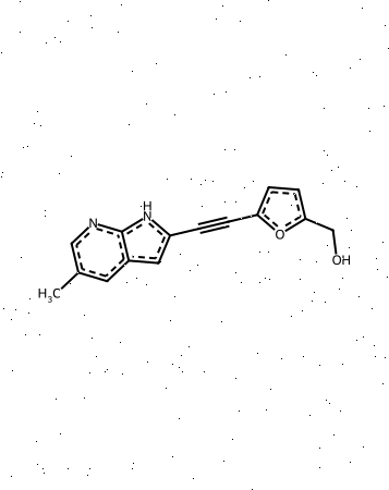 Cc1cnc2[nH]c(C#Cc3ccc(CO)o3)cc2c1